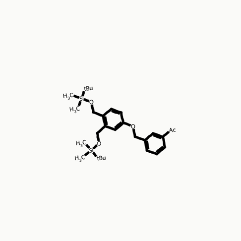 CC(=O)c1cccc(COc2ccc(CO[Si](C)(C)C(C)(C)C)c(CO[Si](C)(C)C(C)(C)C)c2)c1